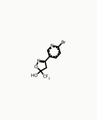 OC1(C(F)(F)F)CC(c2ccc(Br)nc2)=NO1